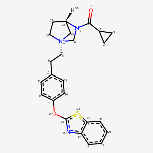 O=C(C1CC1)N1C[N@@+]2(CCc3ccc(Oc4nc5ccccc5s4)cc3)CC[C@H]1C2